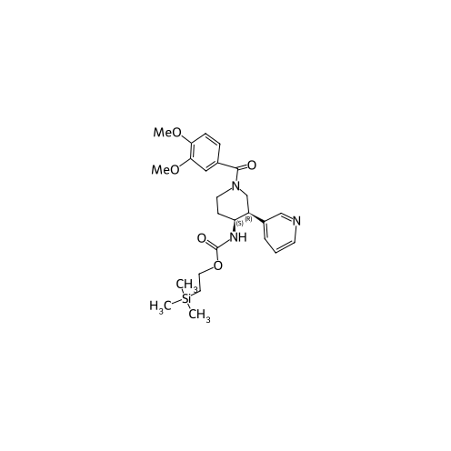 COc1ccc(C(=O)N2CC[C@H](NC(=O)OCC[Si](C)(C)C)[C@H](c3cccnc3)C2)cc1OC